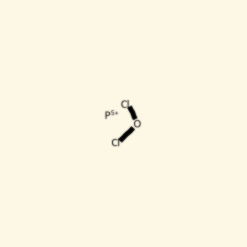 ClOCl.[P+5]